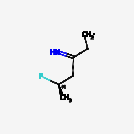 [CH2]CC(=N)C[C@@H](C)F